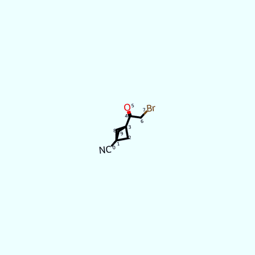 N#CC12CC(C(=O)CBr)(C1)C2